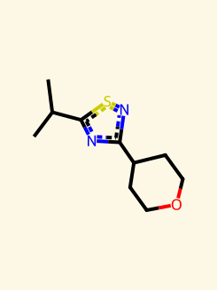 CC(C)c1nc(C2CCOCC2)ns1